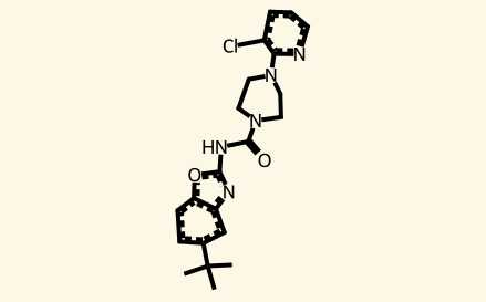 CC(C)(C)c1ccc2oc(NC(=O)N3CCN(c4ncccc4Cl)CC3)nc2c1